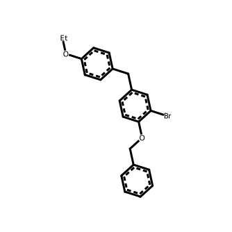 CCOc1ccc(Cc2ccc(OCc3ccccc3)c(Br)c2)cc1